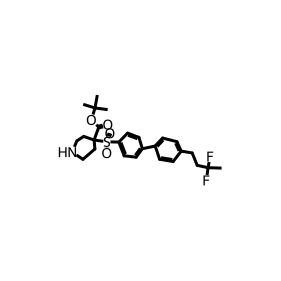 CC(F)(F)CCc1ccc(-c2ccc(S(=O)(=O)C3(C(=O)OC(C)(C)C)CCNCC3)cc2)cc1